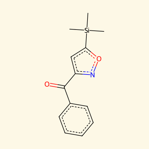 C[Si](C)(C)c1cc(C(=O)c2ccccc2)no1